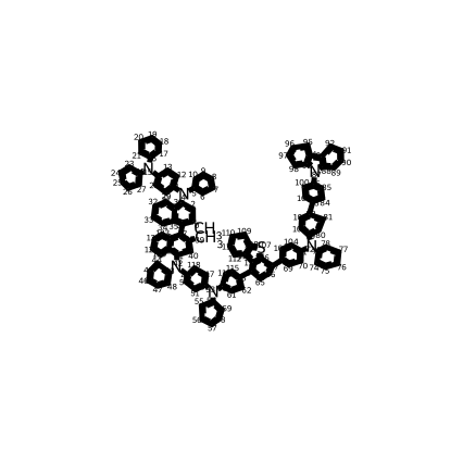 Cc1cc(N(c2ccccc2)c2ccc(N(c3ccccc3)c3ccccc3)cc2)c2ccccc2c1-c1c(C)cc(N(c2ccccc2)c2ccc(N(c3ccccc3)c3ccc(-c4ccc(-c5ccc(N(c6ccccc6)c6ccc(-c7ccc(-n8c9ccccc9c9ccccc98)cc7)cc6)cc5)c5sc6ccccc6c45)cc3)cc2)c2ccccc12